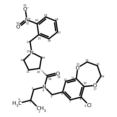 CC(C)CN(Cc1cc(Cl)c2c(c1)OCCCO2)C(=O)[C@@H]1CCN(Cc2ccccc2[N+](=O)[O-])C1